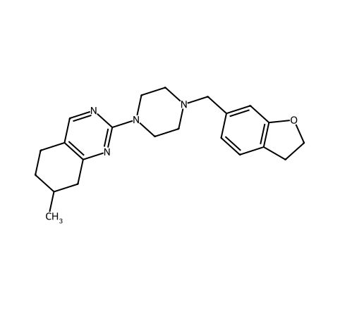 CC1CCc2cnc(N3CCN(Cc4ccc5c(c4)OCC5)CC3)nc2C1